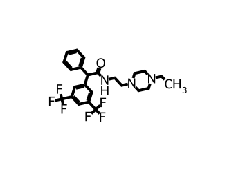 CCN1CCN(CCNC(=O)C(c2ccccc2)c2cc(C(F)(F)F)cc(C(F)(F)F)c2)CC1